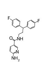 Nc1ccc(C(=O)NCCC(c2ccc(F)cc2)c2ccc(F)cc2)cn1